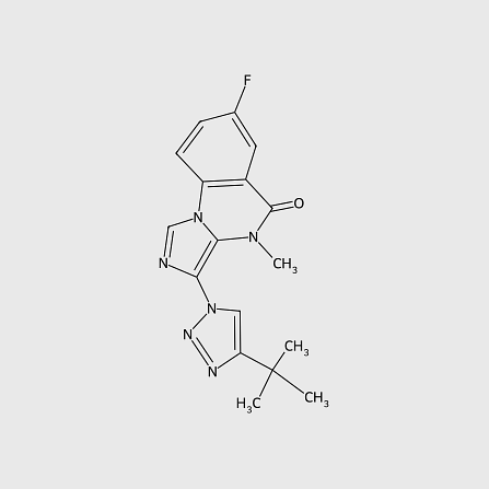 Cn1c(=O)c2cc(F)ccc2n2cnc(-n3cc(C(C)(C)C)nn3)c12